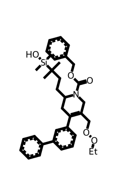 CCOOCC1=C(c2cccc(-c3ccccc3)c2)CC(CCC(C)(C)[Si](C)(C)O)N(C(=O)OCc2ccccc2)C1